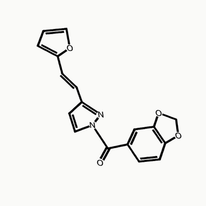 O=C(c1ccc2c(c1)OCO2)n1ccc(/C=C/c2ccco2)n1